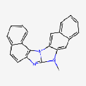 Cn1c2cc3ccccc3cc2n2c3c(ccc4ccccc43)nc12